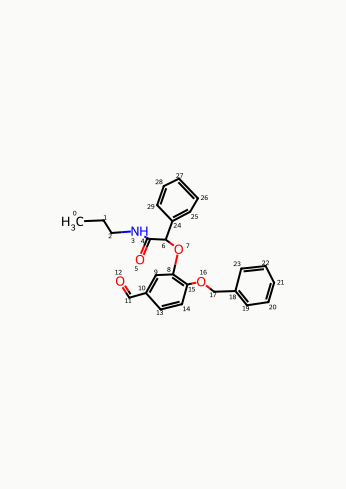 CCCNC(=O)C(Oc1cc(C=O)ccc1OCc1ccccc1)c1ccccc1